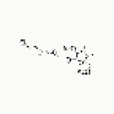 CC(=O)OCC1OC(OCCOCCOCCCl)C(OC(C)=O)C(C)C1C